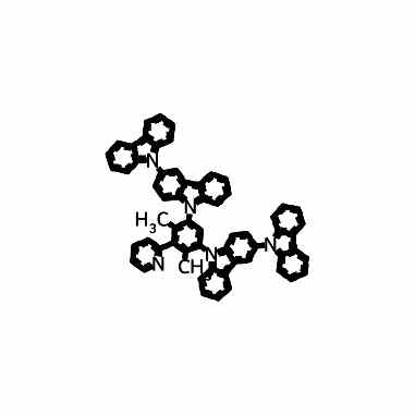 Cc1c(-n2c3ccccc3c3cc(-n4c5ccccc5c5ccccc54)ccc32)cc(-n2c3ccccc3c3cc(-n4c5ccccc5c5ccccc54)ccc32)c(C)c1-c1ccccn1